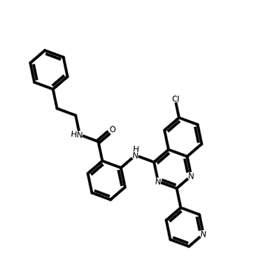 O=C(NCCc1ccccc1)c1ccccc1Nc1nc(-c2cccnc2)nc2ccc(Cl)cc12